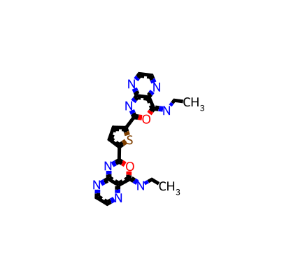 CC/N=c1\oc(-c2ccc(-c3nc4nccnc4/c(=N\CC)o3)s2)nc2nccnc12